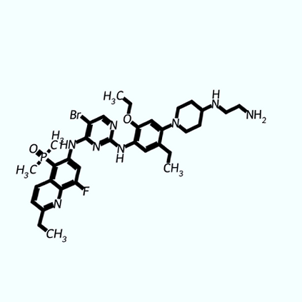 CCOc1cc(N2CCC(NCCN)CC2)c(CC)cc1Nc1ncc(Br)c(Nc2cc(F)c3nc(CC)ccc3c2P(C)(C)=O)n1